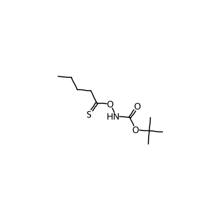 CCCCC(=S)ONC(=O)OC(C)(C)C